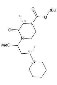 COC(C[C@H](C)N1CCCCC1)N1CCN(C(=O)OC(C)(C)C)[C@@H](C)C1=O